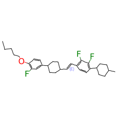 CCCCCOc1ccc(C2CCC(/C=C/c3ccc(C4CCC(C)CC4)c(F)c3F)CC2)cc1F